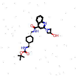 CC(C)(C)OC(=O)NC[C@H]1CC[C@H](CNC(=O)c2cc(N3CC(O)C3)nc3ccccc23)CC1